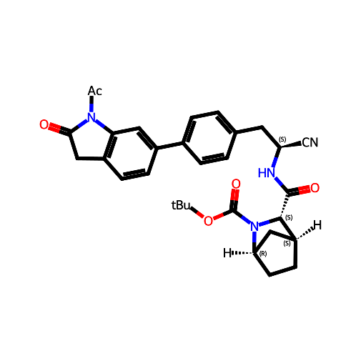 CC(=O)N1C(=O)Cc2ccc(-c3ccc(C[C@@H](C#N)NC(=O)[C@@H]4[C@H]5CC[C@H](C5)N4C(=O)OC(C)(C)C)cc3)cc21